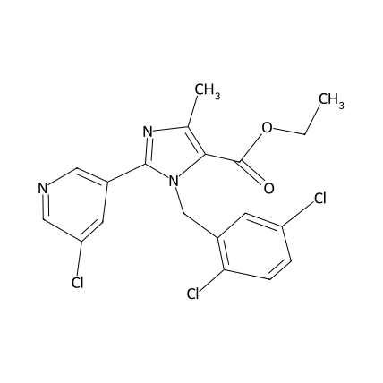 CCOC(=O)c1c(C)nc(-c2cncc(Cl)c2)n1Cc1cc(Cl)ccc1Cl